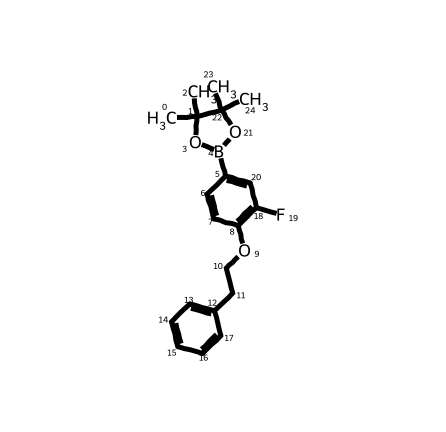 CC1(C)OB(c2ccc(OCCc3ccccc3)c(F)c2)OC1(C)C